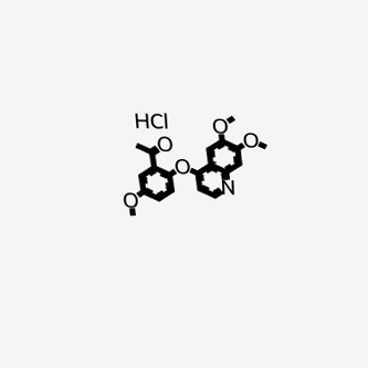 COc1ccc(Oc2ccnc3cc(OC)c(OC)cc23)c(C(C)=O)c1.Cl